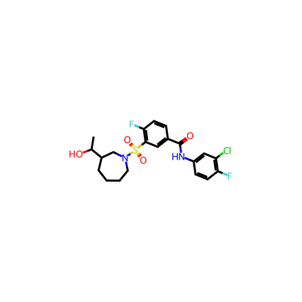 CC(O)C1CCCCN(S(=O)(=O)c2cc(C(=O)Nc3ccc(F)c(Cl)c3)ccc2F)C1